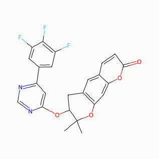 CC1(C)Oc2cc3oc(=O)ccc3cc2CC1Oc1cc(-c2cc(F)c(F)c(F)c2)ncn1